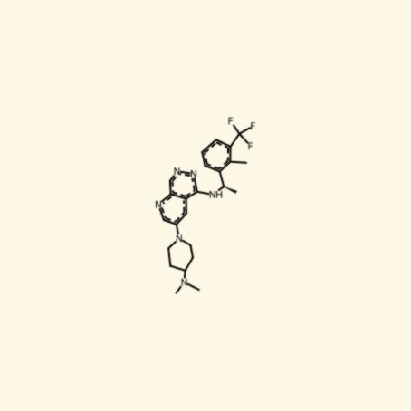 Cc1c([C@@H](C)Nc2nncc3ncc(N4CCC(N(C)C)CC4)cc23)cccc1C(F)(F)F